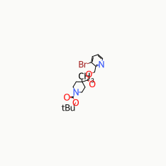 CC(C)(C)OC(=O)N1CCC(C)(C(=O)OCc2ncccc2Br)CC1